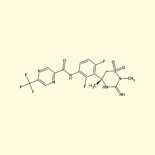 CN1C(=N)N[C@](C)(c2c(F)ccc(NC(=O)c3cnc(C(F)(F)F)cn3)c2F)CS1(=O)=O